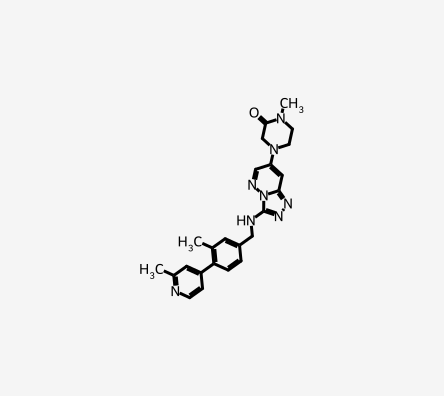 Cc1cc(-c2ccc(CNc3nnc4cc(N5CCN(C)C(=O)C5)cnn34)cc2C)ccn1